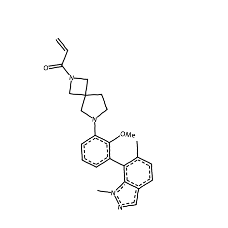 C=CC(=O)N1CC2(CCN(c3cccc(-c4c(C)ccc5cnn(C)c45)c3OC)C2)C1